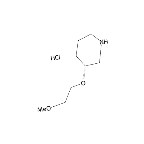 COCCO[C@@H]1CCCNC1.Cl